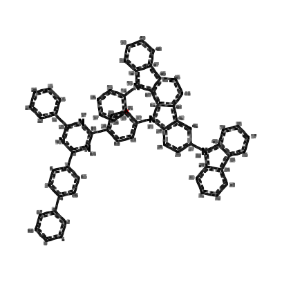 c1ccc(-c2ccc(-c3nc(-c4ccccc4)nc(-c4ccc(-n5c6ccc(-n7c8ccccc8c8ccccc87)cc6c6ccc7c8ccccc8n(-c8ccccc8)c7c65)cc4)n3)cc2)cc1